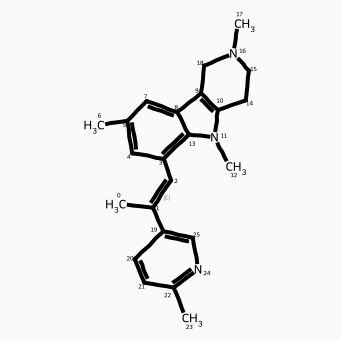 C/C(=C\c1cc(C)cc2c3c(n(C)c12)CCN(C)C3)c1ccc(C)nc1